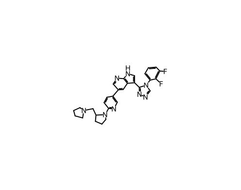 Fc1cccc(-n2cnnc2-c2c[nH]c3ncc(-c4ccc(N5CCCC5CN5CCCC5)nc4)cc23)c1F